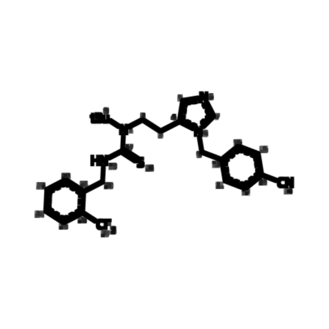 CC(C)(C)N(CCc1cncn1Cc1ccc(C#N)cc1)C(=S)NCc1ccccc1C(F)(F)F